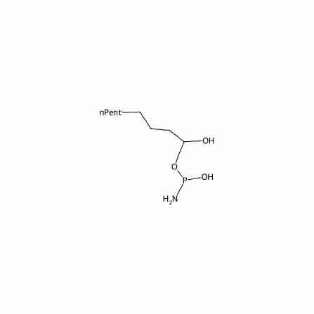 CCCCCCCCC(O)OP(N)O